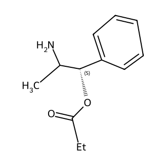 CCC(=O)O[C@@H](c1ccccc1)C(C)N